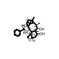 CC(=O)O[C@@]12CO[C@@H]1C[C@H](O)[C@]1(C)[C@@H]2[C@H](OC(=O)c2ccccc2)[C@]2(O)C[C@H](C)C(C)=C([C@@H](C)[C@@H]1O)C2(C)C